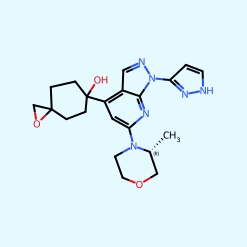 C[C@@H]1COCCN1c1cc(C2(O)CCC3(CC2)CO3)c2cnn(-c3cc[nH]n3)c2n1